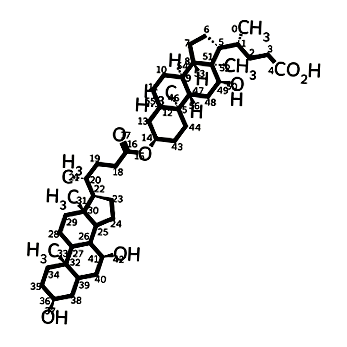 C[C@H](CCC(=O)O)[C@H]1CC[C@H]2[C@@H]3CC[C@@H]4C[C@H](OC(=O)CC[C@@H](C)[C@H]5CCC6C7C(CC[C@@]65C)[C@@]5(C)CC[C@H](O)CC5C[C@@H]7O)CC[C@]4(C)[C@H]3C[C@H](O)[C@]12C